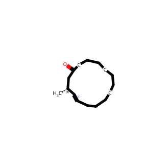 C[C@H]1/C=C/CCCCCCCCCCC(=O)C1